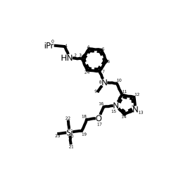 CC(C)CNc1cccc(N(C)Cc2cncn2COCC[Si](C)(C)C)c1